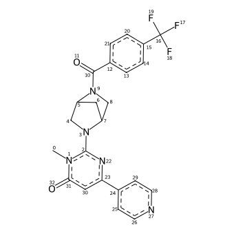 Cn1c(N2CC3CC2CN3C(=O)c2ccc(C(F)(F)F)cc2)nc(-c2ccncc2)cc1=O